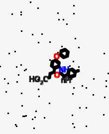 CCCC(C(=O)Nc1cc(Oc2ccccc2)ccc1CCCC(=O)O)c1ccc(C)cc1